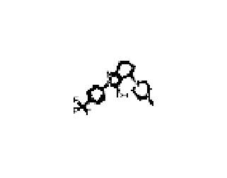 CN1CCN(C2CCCc3nn(-c4ccc(C(F)(F)F)cc4)c(O)c32)CC1